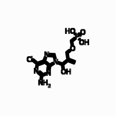 C=C(COCP(=O)(O)O)C(O)n1cnc2c(Cl)nc(N)nc21